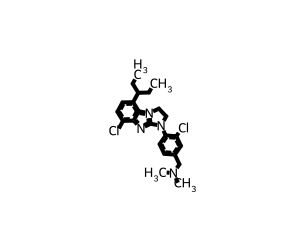 CCC(CC)c1ccc(Cl)c2nc3n(c12)CCN3c1ccc(CN(C)C)cc1Cl